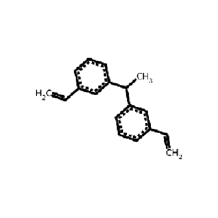 C=Cc1cccc(C(C)c2cccc(C=C)c2)c1